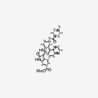 COC(=O)c1ccc2c(c1)NC(=O)/C2=C(\Nc1ccc(CC(=O)N2CCN(C)CC2)cc1)c1ccc2nccnc2c1